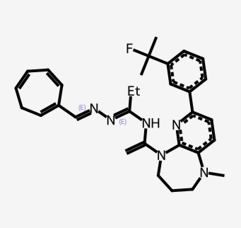 C=C(N/C(CC)=N/N=C/C1=CCC=CC=C1)N1CCCN(C)c2ccc(-c3cccc(C(C)(C)F)c3)nc21